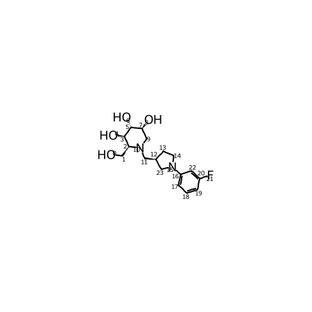 OC[C@H]1[C@@H](O)[C@H](O)[C@@H](O)CN1C[C@H]1CCN(c2cccc(F)c2)C1